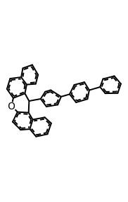 c1ccc(-c2ccc(-c3ccc(C4c5c(ccc6ccccc56)Oc5ccc6ccccc6c54)cc3)cc2)cc1